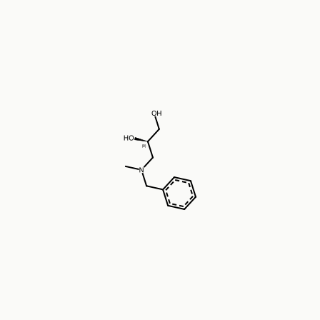 CN(Cc1ccccc1)C[C@@H](O)CO